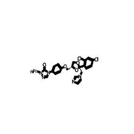 CCCn1ncn(-c2ccc(OC[C@@H]3CO[C@@](Cn4ccnc4)(c4ccc(Cl)cc4Cl)O3)cc2)c1=O